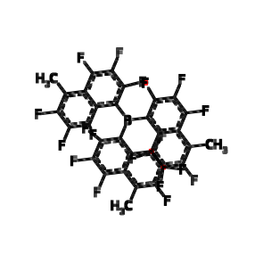 Cc1c(F)c(F)c(F)c2c(B(c3c(F)c(F)c(F)c4c(C)c(F)c(F)c(F)c34)c3c(F)c(F)c(F)c4c(C)c(F)c(F)c(F)c34)c(F)c(F)c(F)c12